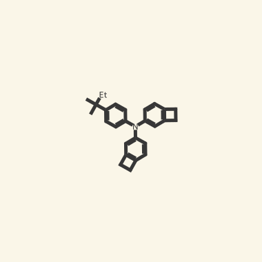 CCC(C)(C)c1ccc(N(c2ccc3c(c2)CC3)c2ccc3c(c2)CC3)cc1